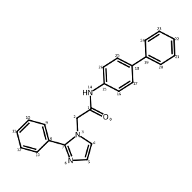 O=C(Cn1ccnc1-c1ccccc1)Nc1ccc(-c2ccccc2)cc1